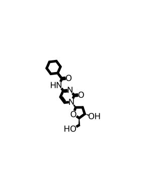 O=C(Nc1ccn([C@H]2C[C@H](O)[C@@H](CO)O2)c(=O)n1)C1CCCCC1